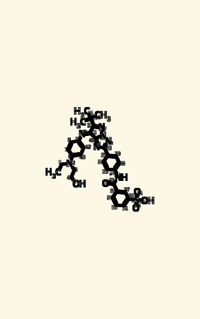 CCN(CCO)c1ccc(/N=C2/C(C(C)(C)C)=Nn3nc(-c4ccc(NC(=O)c5cccc(S(=O)(=O)O)c5)cc4)nc32)cc1